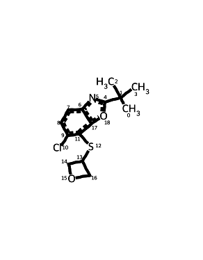 CC(C)(C)c1nc2ccc(Cl)c(SC3COC3)c2o1